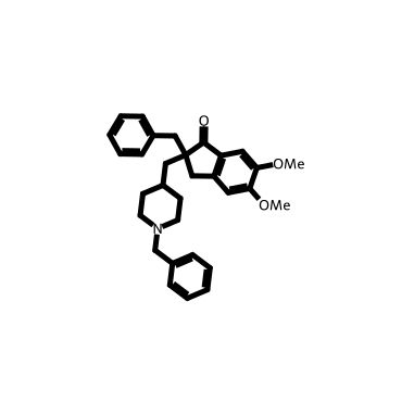 COc1cc2c(cc1OC)C(=O)C(Cc1ccccc1)(CC1CCN(Cc3ccccc3)CC1)C2